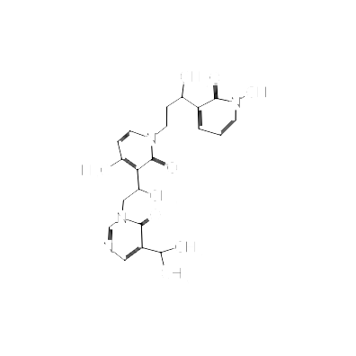 Cc1ccn(CCC(C)c2cccn(C)c2=O)c(=O)c1C(C)Cn1cncc(C(C)C)c1=O